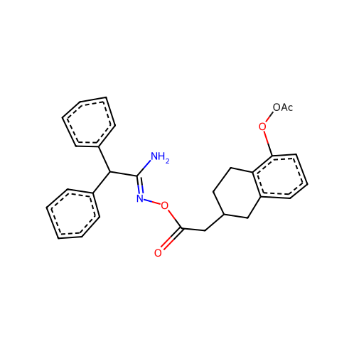 CC(=O)OOc1cccc2c1CCC(CC(=O)O/N=C(\N)C(c1ccccc1)c1ccccc1)C2